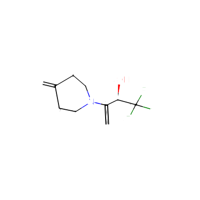 C=C1CCN(C(=C)[C@@H](O)C(F)(F)F)CC1